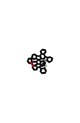 c1ccc(-c2cccc(-c3nc(-n4c5ccccc5c5c6ccccc6c6c(c54)C4(c5ccccc5-c5ccccc54)c4ccccc4-6)nc4ccccc34)n2)cc1